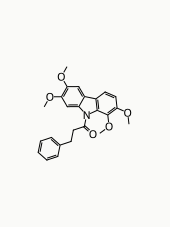 COc1cc2c3ccc(OC)c(OC)c3n(C(=O)CCc3ccccc3)c2cc1OC